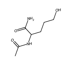 CC(=O)NC(CCCO)C(N)=O